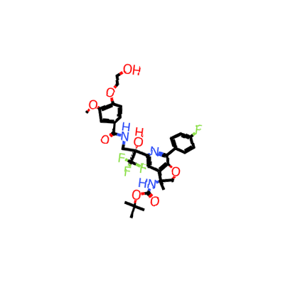 COc1cc(C(=O)NC[C@@](O)(c2cc3c(c(-c4ccc(F)cc4)n2)OCC3(C)NC(=O)OC(C)(C)C)C(F)(F)F)ccc1OCCO